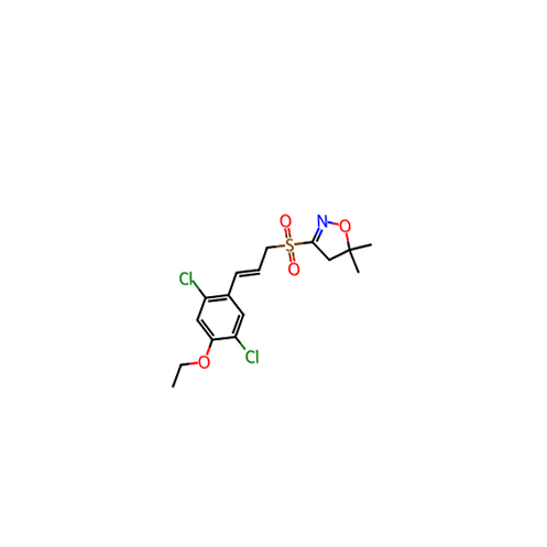 CCOc1cc(Cl)c(C=CCS(=O)(=O)C2=NOC(C)(C)C2)cc1Cl